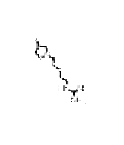 CC1CCN(CCCCCNC(=N)N)C1